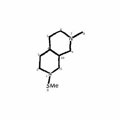 CSN1CCC2CCN(C)CC2C1